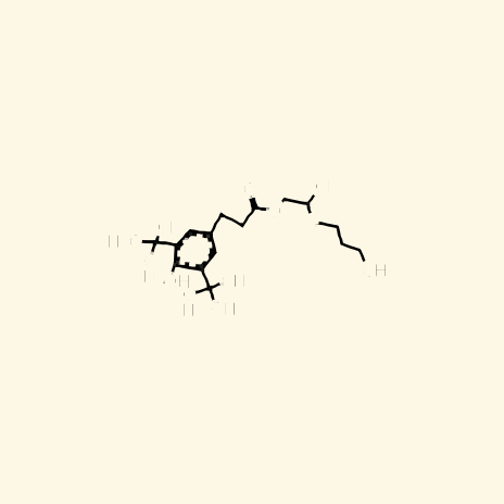 CCCCSC(C)COC(=O)CCc1cc(C(C)(C)C)c(O)c(C(C)(C)C)c1